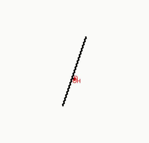 CCCCCCCCCCCCCCCCCCCCCCCCCCCC(CCCCCCCCCCCCCCCCCC)C(=O)O